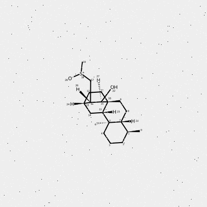 C[C@H]1CCC[C@]2(C)[C@@H]1CC[C@@]13CC[C@@H](C[C@@H]21)[C@H](C[S+](C)[O-])[C@H]3O